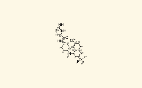 CN(c1cc(C(F)(F)F)nc2ccc(Cl)cc12)[C@H]1CC[C@@H](NC(=O)C2CSC(=N)N2)CC1